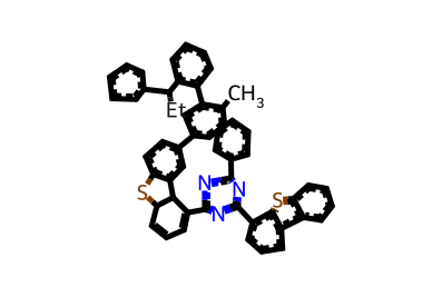 CCC(c1ccccc1)c1ccccc1-c1cc(-c2ccc3c(c2)C2C(c4nc(-c5ccccc5)nc(-c5cccc6c5sc5ccccc56)n4)=CC=CC2S3)ccc1C